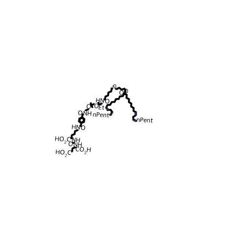 CCCCC/C=C\C/C=C\CCCCCCCCC1(CCCCCCCC/C=C\C/C=C\CCCCC)OCC(CCN(C)CCCCCC(=O)NCC(C)(CC)OCC(C)(C)OCCNC(=O)c2ccc(C(=O)NCCCC[C@H](NC(=O)N[C@@H](CCC(=O)O)C(=O)O)C(=O)O)cc2)O1